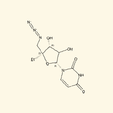 CC[C@@]1(CN=[N+]=[N-])O[C@@H](n2ccc(=O)[nH]c2=O)C(O)[C@H]1O